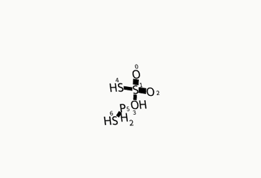 O=S(=O)(O)S.PS